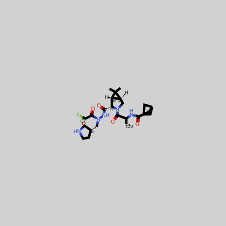 CC(C)(C)C(NC(=O)C12CC(C1)C2)C(=O)N1C[C@H]2[C@@H]([C@H]1C(=O)NN(C[C@@H]1CCNC1=O)C(=O)C(F)Cl)C2(C)C